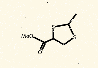 COC(=O)C1CS[C](C)S1